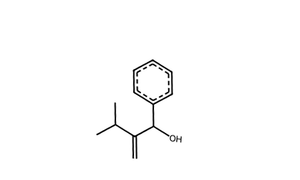 C=C(C(C)C)C(O)c1ccccc1